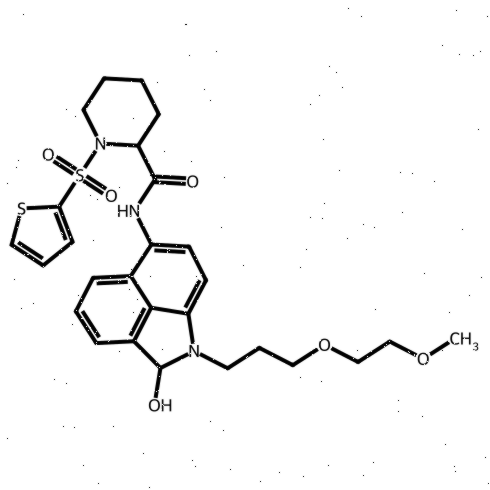 COCCOCCCN1c2ccc(NC(=O)C3CCCCN3S(=O)(=O)c3cccs3)c3cccc(c23)C1O